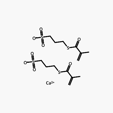 C=C(C)C(=O)SCCCS(=O)(=O)[O-].C=C(C)C(=O)SCCCS(=O)(=O)[O-].[Ca+2]